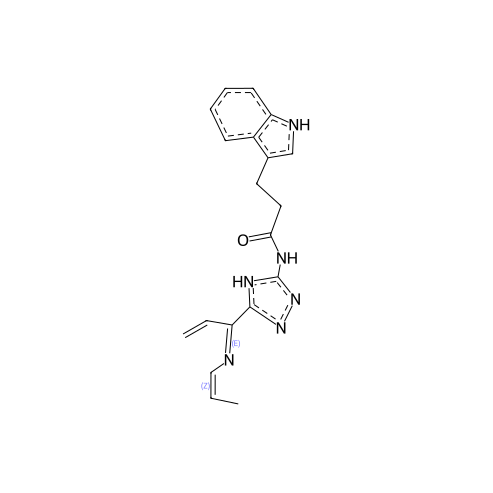 C=C/C(=N\C=C/C)c1nnc(NC(=O)CCc2c[nH]c3ccccc23)[nH]1